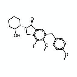 COc1ccc(Cc2cc3c(c(F)c2OC)CN([C@H]2CCCC[C@@H]2O)C3=O)cc1